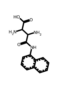 NC(C(=O)O)C(N)C(=O)Nc1cccc2ccccc12